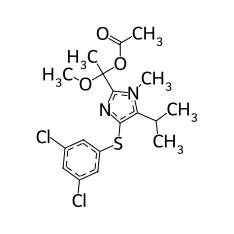 COC(C)(OC(C)=O)c1nc(Sc2cc(Cl)cc(Cl)c2)c(C(C)C)n1C